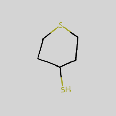 SC1CCSCC1